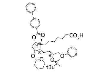 CC(C)(C)[Si](C)(C)O[C@@H](CC[C@H]1C(OC2CCCCO2)C[C@H](OC(=O)c2ccc(-c3ccccc3)cc2)[C@]1(C)CCCCCCC(=O)O)COc1ccccc1